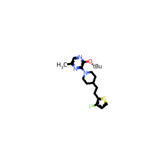 Cc1cnc(OC(C)(C)C)c(N2CCC(CCc3sccc3F)CC2)n1